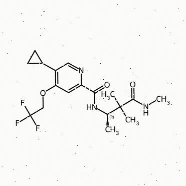 CNC(=O)C(C)(C)[C@@H](C)NC(=O)c1cc(OCC(F)(F)F)c(C2CC2)cn1